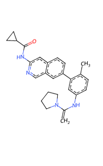 C=C(Nc1ccc(C)c(-c2ccc3cc(NC(=O)C4CC4)ncc3c2)c1)N1CCCC1